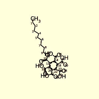 CCCCCCCCCCOC(=O)c1c(C(=O)O)c(C(=O)O)c(C(=O)O)c(C(=O)O)c1C(=O)O